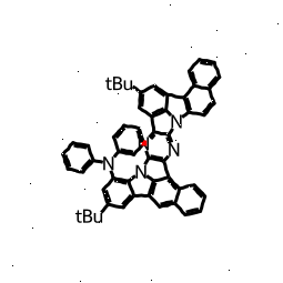 CC(C)(C)c1cc(N(c2ccccc2)c2ccccc2)c2c(c1)c1cc3ccccc3c3c4nc5c(nc4n2c13)c1cc(C(C)(C)C)cc2c3c4ccccc4ccc3n5c12